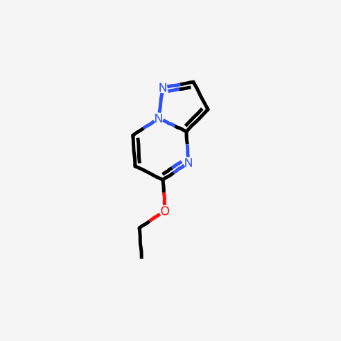 CCOc1ccn2nccc2n1